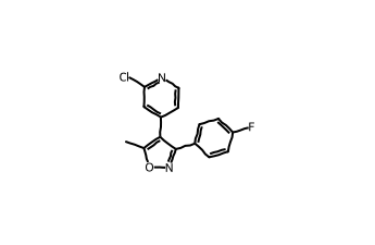 Cc1onc(-c2ccc(F)cc2)c1-c1ccnc(Cl)c1